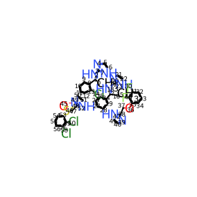 CC(Nc1ncc[nH]1)c1ccccc1Cl.CCC(Nc1ncc[nH]1)c1ccccc1.Fc1cccc(OCc2ncc[nH]2)c1F.[O-][S+](Cc1ncc[nH]1)c1cccc(Cl)c1Cl